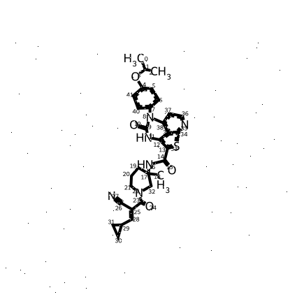 CC(C)Oc1ccc(N2C(=O)Nc3c(C(=O)NC4(C)CCCN(C(=O)/C(C#N)=C/C5CC5)C4)sc4nccc2c34)cc1